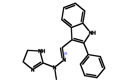 CN(/N=C/c1c(-c2ccccc2)[nH]c2ccccc12)C1=NCCN1